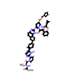 CC[C@H](C)[C@H](NC(=O)OC)C(=O)N1CCC[C@H]1c1ncc(-c2ccc(-c3ccc4c(ccc5nc([C@@H]6C[C@H](COCC7CCCC7)CN6C(=O)[C@H](NC(=O)C6CC6)c6ccccc6)[nH]c54)c3)cc2)[nH]1